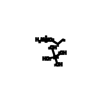 CCO.O[Si](O)(O)O.[MgH2]